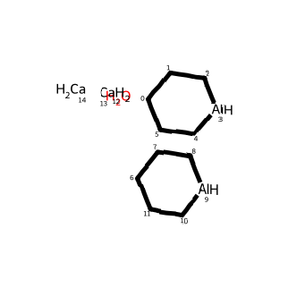 C1C[CH2][AlH][CH2]C1.C1C[CH2][AlH][CH2]C1.O.[CaH2].[CaH2]